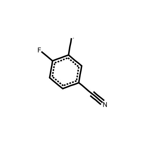 [CH2]c1cc(C#N)ccc1F